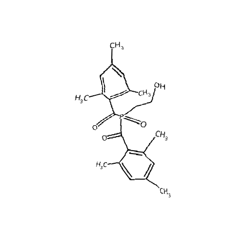 Cc1cc(C)c(C(=O)P(=O)(CCO)C(=O)c2c(C)cc(C)cc2C)c(C)c1